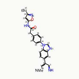 CN/C=C(\C=N)c1ccc2c(c1)ncn2-c1ccc(CC(=O)Nc2cc(C(C)(C)C)no2)cc1